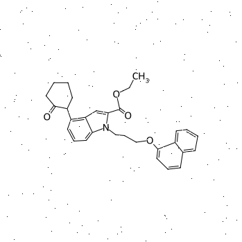 CCOC(=O)c1cc2c(C3CCCCC3=O)cccc2n1CCCOc1cccc2ccccc12